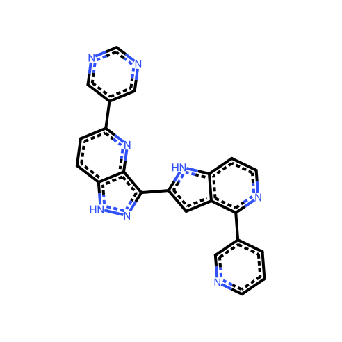 c1cncc(-c2nccc3[nH]c(-c4n[nH]c5ccc(-c6cncnc6)nc45)cc23)c1